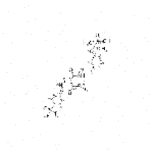 CC(C)(Oc1cccc(CCNC(=O)c2cnc(-c3ccc(C(F)(F)F)cc3)nc2C2CC2)c1)C(=O)O